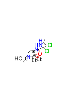 CCO[C@@H]1C(CC)N(C(=O)O)CC[C@H]1NC(=O)c1[nH]c(C)c(Cl)c1Cl